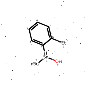 CCC[CH2][SnH]([OH])[c]1ccccc1CC